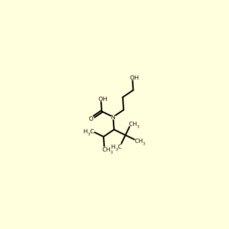 CC(C)C(N(CCCO)C(=O)O)C(C)(C)C